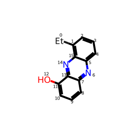 CCc1cccc2nc3cccc(O)c3nc12